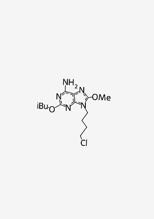 CCC(C)Oc1nc(N)c2nc(OC)n(CCCCCl)c2n1